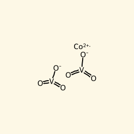 [Co+2].[O]=[V](=[O])[O-].[O]=[V](=[O])[O-]